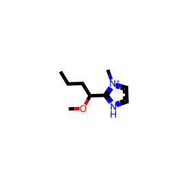 CCCC(OC)c1[nH]cc[n+]1C